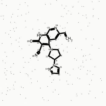 C=Cc1cc2c(N3CCC(n4cccn4)C3)c(C#N)c(=O)[nH]c2cn1